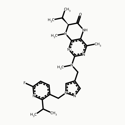 Cc1nc(N(C)Cc2cnn(Cc3ccc(F)nc3C(C)C)c2)nc2c1NC(=O)[C@H](C(C)C)N2C